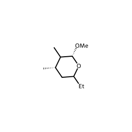 CCC1C[C@H](C)C(C)[C@H](OC)O1